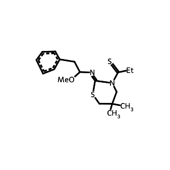 CCC(=S)N1CC(C)(C)CSC1=NC(Cc1ccccc1)OC